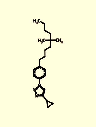 CCCCC(C)(C)CCCCc1ccc(-n2cc(C3CC3)nn2)cc1